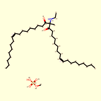 CCCCCCCC/C=C\CCCCCCCC(=O)C(C)(NCC)C(=O)CCCCCCC/C=C\CCCCCCCC.COS(=O)(=O)O